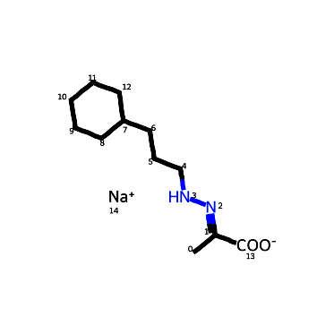 CC(=NNCCCC1CCCCC1)C(=O)[O-].[Na+]